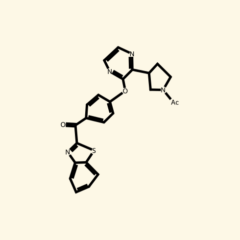 CC(=O)N1CCC(c2nccnc2Oc2ccc(C(=O)c3nc4ccccc4s3)cc2)C1